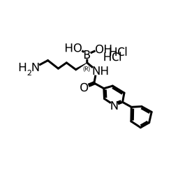 Cl.Cl.NCCCC[C@H](NC(=O)c1ccc(-c2ccccc2)nc1)B(O)O